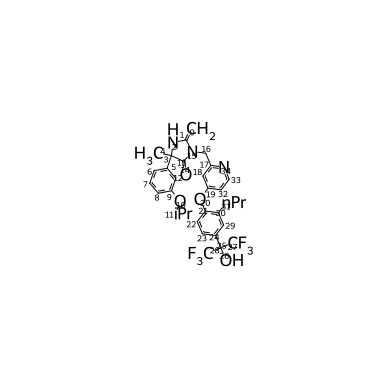 C=C1NC(C)(c2cccc(OC(C)C)c2)C(=O)N1Cc1cc(Oc2ccc(C(O)(C(F)(F)F)C(F)(F)F)cc2CCC)ccn1